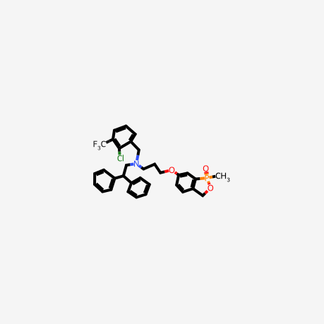 CP1(=O)OCc2ccc(OCCCN(Cc3cccc(C(F)(F)F)c3Cl)CC(c3ccccc3)c3ccccc3)cc21